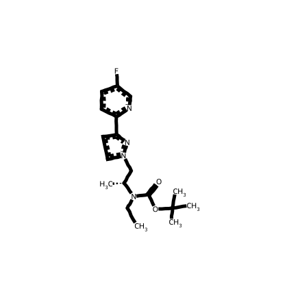 CCN(C(=O)OC(C)(C)C)[C@H](C)Cn1ccc(-c2ccc(F)cn2)n1